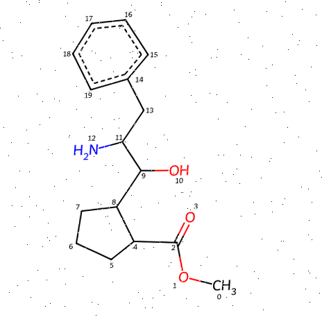 COC(=O)C1CCCC1C(O)C(N)Cc1ccccc1